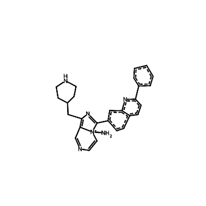 N[N+]12C=CN=CC1=C(CC1CCNCC1)N=C2c1ccc2ccc(-c3ccccc3)nc2c1